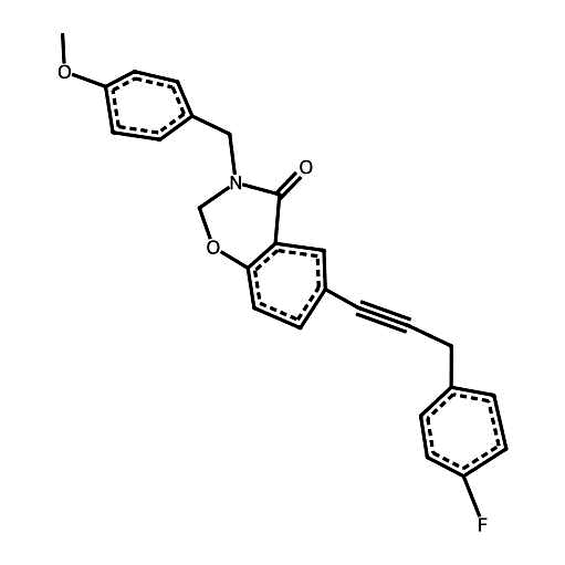 COc1ccc(CN2COc3ccc(C#CCc4ccc(F)cc4)cc3C2=O)cc1